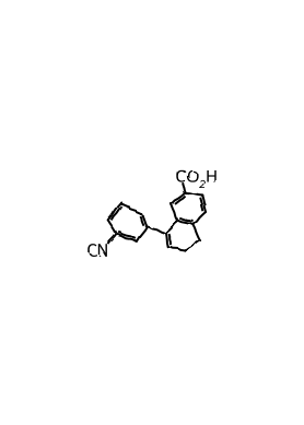 [C-]#[N+]c1cccc(C2=CCCc3ccc(C(=O)O)cc32)c1